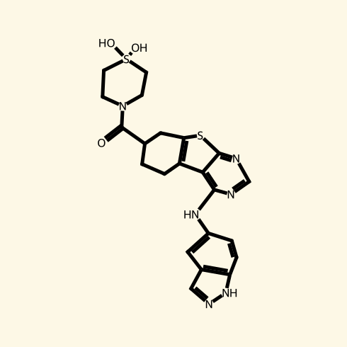 O=C(C1CCc2c(sc3ncnc(Nc4ccc5[nH]ncc5c4)c23)C1)N1CCS(O)(O)CC1